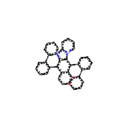 c1ccc(-c2ccccc2-c2c3ccccc3c(-c3ccccc3-c3ccccc3)c3c2nc2ccccn23)cc1